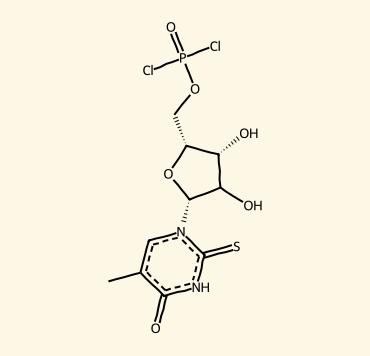 Cc1cn([C@@H]2O[C@H](COP(=O)(Cl)Cl)[C@H](O)C2O)c(=S)[nH]c1=O